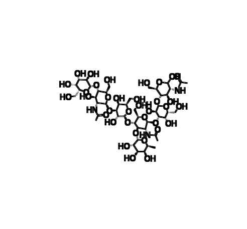 CC(=O)N[C@H]1[C@H](O[C@H]2[C@@H](O)[C@@H](CO)O[C@@H](O[C@H]3[C@H](O[C@@H]4O[C@@H](C)[C@@H](O)[C@@H](O)[C@@H]4O)[C@@H](NC(C)=O)[C@H](O[C@H]4[C@@H](O)[C@@H](CO)O[C@@H](O[C@H]5[C@H](O)[C@@H](NC(C)=O)C(O)O[C@@H]5CO)[C@@H]4O)O[C@@H]3CO)[C@@H]2O)O[C@H](CO)[C@@H](O[C@@H]2O[C@H](CO)[C@H](O)[C@H](O)[C@H]2O)[C@@H]1O